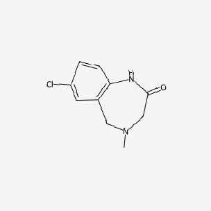 CN1CC(=O)Nc2ccc(Cl)cc2C1